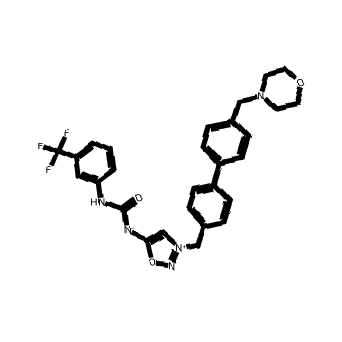 O=C([N-]c1c[n+](Cc2ccc(-c3ccc(CN4CCOCC4)cc3)cc2)no1)Nc1cccc(C(F)(F)F)c1